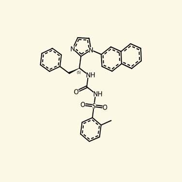 Cc1ccccc1S(=O)(=O)NC(=O)N[C@@H](Cc1ccccc1)c1nccn1-c1ccc2ccccc2c1